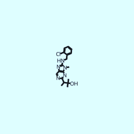 CC(c1ncc2nc(NCc3ccccc3Cl)n(C)c2n1)C(C)(C)O